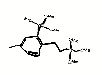 CO[Si](CCc1ccc(C)cc1[Si](OC)(OC)OC)(OC)OC